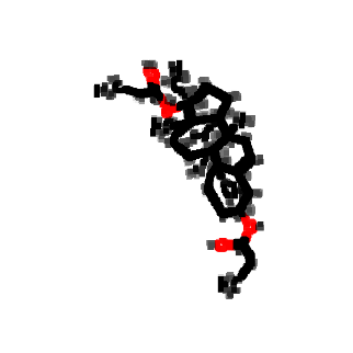 CCC(=O)O[C@H]1CC[C@@]2(C)C(=CC[C@@H]3[C@@H]2CC[C@@]2(C)[C@H]3CC[C@]2(C)OC(=O)CC)C1